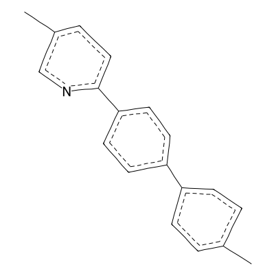 Cc1ccc(-c2ccc(-c3ccc(C)cn3)cc2)cc1